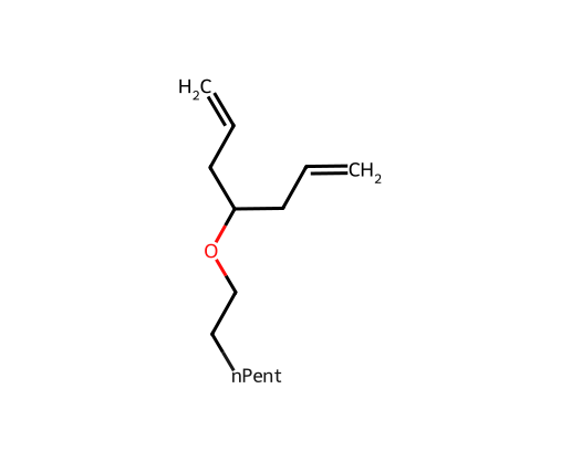 C=CCC(CC=C)OCCCCCCC